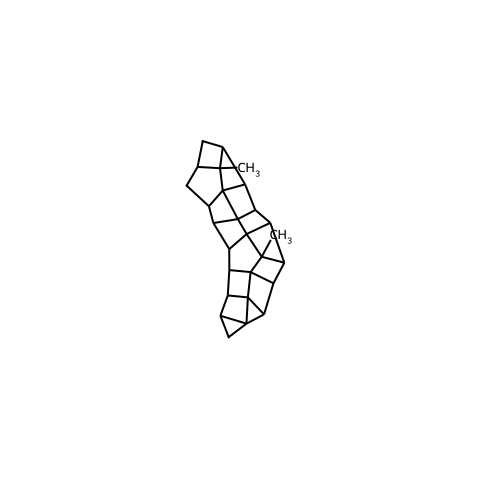 CC12C3CC1C1C4C5C6C7C8C9%10CC9C9C%11C%12C%13C(C3)C12C%134C%125C6(C)C7%11C98%10